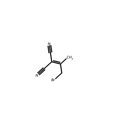 CC(CBr)=C(C#N)C#N